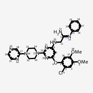 COc1cc(Cl)c(Oc2cc(NC/C(N)=N/c3ccccc3)nc(N3CCN(c4cnccn4)CC3)n2)cc1OC